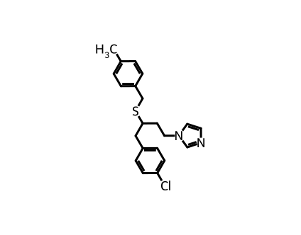 Cc1ccc(CSC(CCn2ccnc2)Cc2ccc(Cl)cc2)cc1